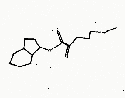 C=C(CCCCC)C(=O)OC1CCC2CCCCC21